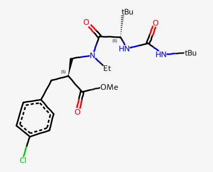 CCN(C[C@H](Cc1ccc(Cl)cc1)C(=O)OC)C(=O)[C@@H](NC(=O)NC(C)(C)C)C(C)(C)C